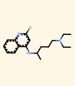 CCN(CC)CCCC(C)Nc1cc(Cl)nc2ccccc12